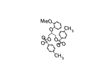 COc1ccccc1OC(COS(=O)(=O)c1ccc(C)cc1)COS(=O)(=O)c1ccc(C)cc1